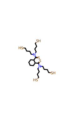 S=C(C1CCCCC1C(=S)N(CCCCS)CCCCS)N(CCCCS)CCCCS